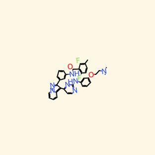 Cc1ccc(F)c(C(=O)Nc2cccc(-c3nn4ccccc4c3-c3ccnc(Nc4cccc(OCCN(C)C)c4)n3)c2)c1F